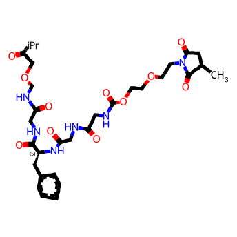 CC(C)C(=O)COCNC(=O)CNC(=O)[C@H](Cc1ccccc1)NC(=O)CNC(=O)CNC(=O)OCCOCCN1C(=O)CC(C)C1=O